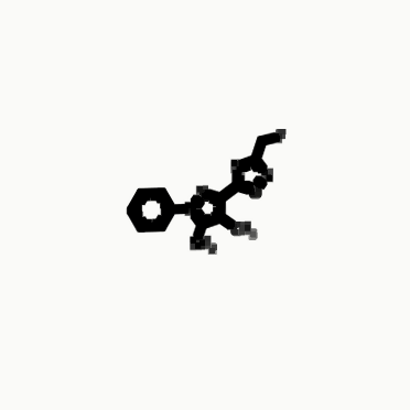 Cc1c(-c2nc(CF)no2)nn(-c2ccccc2)c1N